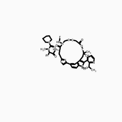 CCn1c(-c2cccnc2[C@H](C)OC)c2c3cc(ccc31)-c1csc(n1)C[C@H](NC(=O)C(C(C)C)N(C)C(=O)N1CCCCC1)C(=O)N(NF)CCCCC(=O)OCC(C)(C)C2